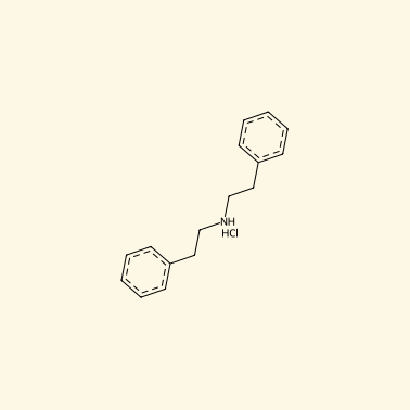 Cl.c1ccc(CCNCCc2ccccc2)cc1